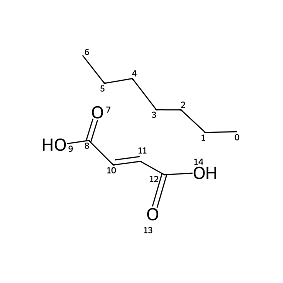 CCCCCCC.O=C(O)C=CC(=O)O